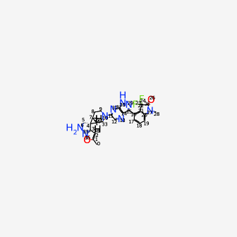 Cc1cc([C@@]2(CN)[C@@H]3CCN(c4cnc5c(-c6cccc7c6C(F)(F)C(=O)N7C)n[nH]c5n4)C[C@@H]32)no1